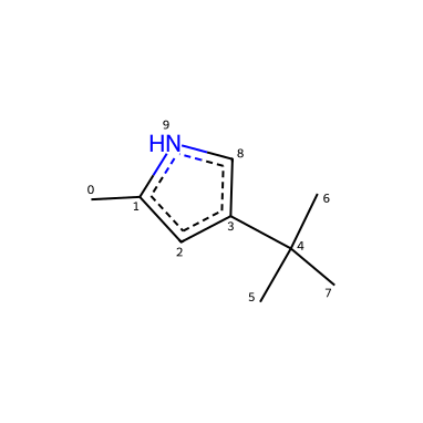 Cc1cc(C(C)(C)C)c[nH]1